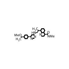 CNC(=O)c1ccnc2c([C@H](C)CNc3cc(-c4ccc(C(C)OC)cc4)ncn3)cccc12